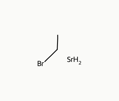 CCBr.[SrH2]